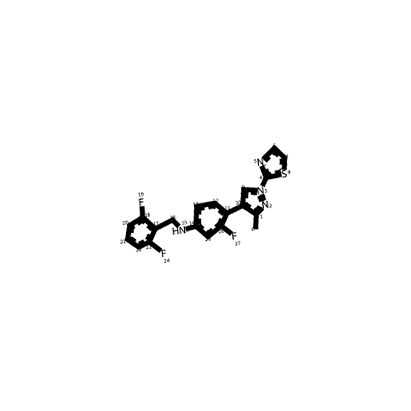 Cc1nn(-c2nccs2)cc1-c1ccc(NCc2c(F)cccc2F)cc1F